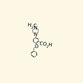 CN1CCN(c2ccc(OCc3ccccc3)c(C(=O)O)c2)CC1